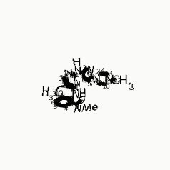 CNC(=O)c1ccccc1Nc1nc(Nc2ccc(N3CCN(C)CC3)nc2)ncc1C